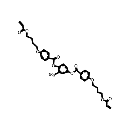 C=CC(=O)OCCCCOc1ccc(C(=O)Oc2ccc(OC(=O)c3ccc(OCCCCOC(=O)C=C)cc3)c(C(C)(C)C)c2)cc1